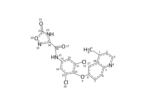 Cc1ccnc2ccc(Oc3c(Cl)cc(NC(=O)c4noc(=O)[nH]4)cc3Cl)cc12